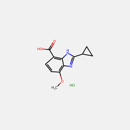 COc1ccc(C(=O)O)c2[nH]c(C3CC3)nc12.Cl